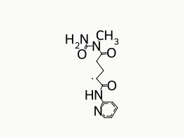 CN(C(N)=O)C(=O)CC[CH]C(=O)Nc1ccccn1